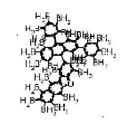 Bc1c(B)c(B)c(-c2c(B)c(B)c3c(-c4c(B)c(B)c(B)c(B)c4B)c4c(B)c(B)c(B)c(B)c4c(-c4c(B)c(B)c5oc6c(B)c7c(B)c(B)c(B)c(B)c7c(B)c6c5c4B)c3c2B)c(B)c1B